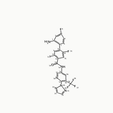 Nc1cc(F)ccc1-c1cc(I)c(C(=O)Nc2cnc(-n3nccn3)c(C(F)(F)F)c2)cc1F